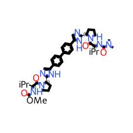 COC(=O)N[C@H](C(=O)N1CCC[C@H]1c1ncc(-c2ccc(-c3ccc(-c4cnc([C@@H]5CCCN5C(=O)[C@@H](NC(=O)N(C)C)C(C)C)[nH]4)cc3)cc2)[nH]1)C(C)C